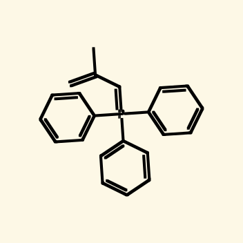 C=C(C)C=P(c1ccccc1)(c1ccccc1)c1ccccc1